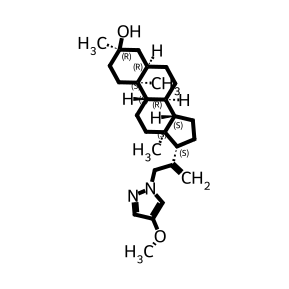 C=C(Cn1cc(OC)cn1)[C@H]1CC[C@H]2[C@@H]3CC[C@@H]4C[C@](C)(O)CC[C@]4(C)[C@H]3CC[C@]12C